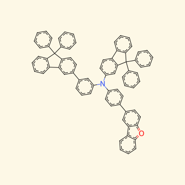 c1ccc(C2(c3ccccc3)c3ccccc3-c3cc(-c4cccc(N(c5ccc(-c6ccc7oc8ccccc8c7c6)cc5)c5ccc6c(c5)C(c5ccccc5)(c5ccccc5)c5ccccc5-6)c4)ccc32)cc1